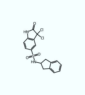 O=C1Nc2ccc(S(=O)(=O)NC3Cc4ccccc4C3)cc2C1(Cl)Cl